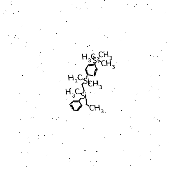 CCC[Si](C)(CC[Si](C)(C)c1ccc([Si](C)(C)C)cc1)c1ccccc1